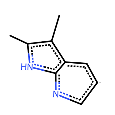 Cc1[nH]c2nc[c]cc2c1C